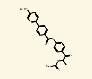 CCCCCCCc1ccc(-c2ccc(C(=O)Oc3ccc(C(=O)C(C)OC(=O)CCCCCC)cc3)cc2)nc1